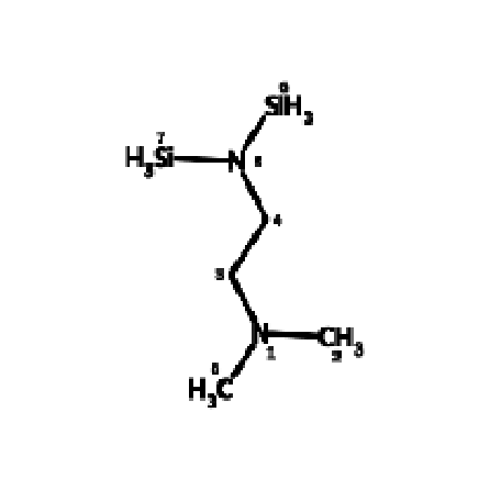 CN(C)CCN([SiH3])[SiH3]